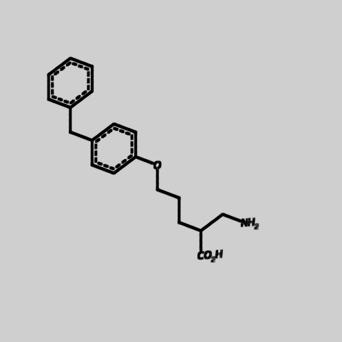 NCC(CCCOc1ccc(Cc2ccccc2)cc1)C(=O)O